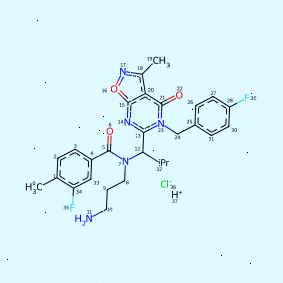 Cc1ccc(C(=O)N(CCCN)C(c2nc3onc(C)c3c(=O)n2Cc2ccc(F)cc2)C(C)C)cc1F.[Cl-].[H+]